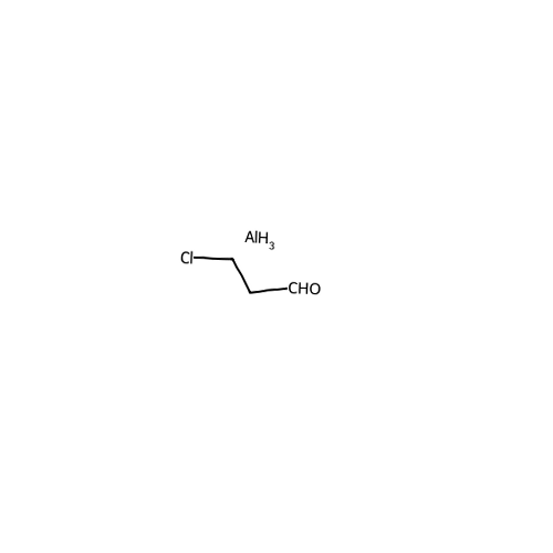 O=CCCCl.[AlH3]